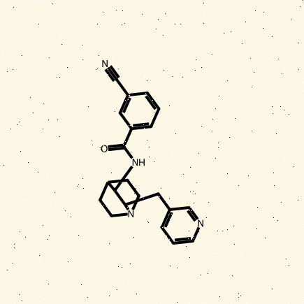 N#Cc1cccc(C(=O)NC2C3CCN(CC3)C2Cc2cccnc2)c1